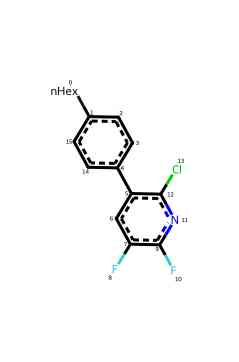 CCCCCCc1ccc(-c2cc(F)c(F)nc2Cl)cc1